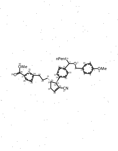 CCCCCC(OCc1ccc(OC)cc1)c1ccc([C@H]2C(C#N)=CC[C@@H]2CCCc2ccc(C(=O)OC)s2)cc1